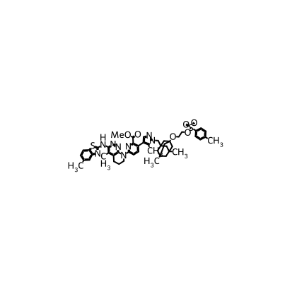 COC(=O)c1nc(N2CCCc3c2nnc(Nc2nc4cc(C)ccc4s2)c3C)ccc1-c1cnn(CC23CC4(C)CC(C)(C2)CC(OCCOS(=O)(=O)c2ccc(C)cc2)(C4)C3)c1C